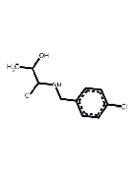 CC(O)C(Cl)NCc1ccc(Cl)cc1